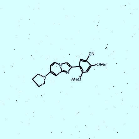 COc1cc(OC)c(-c2cn3ccc(N4CCCC4)cc3n2)cc1C#N